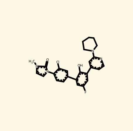 Cn1ccn(-c2ccc(-c3cc(F)cc(-c4ccnc(N5CCCCC5)c4)c3O)cc2Cl)c1=O